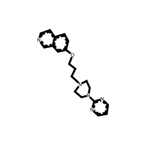 c1cnc(N2CCN(CCCOc3ccc4ccncc4c3)CC2)nc1